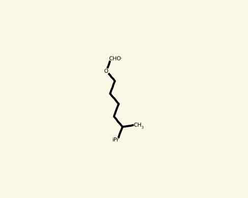 CC(C)C(C)CCCCO[C]=O